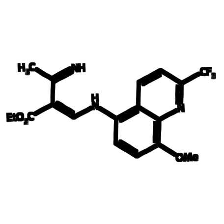 CCOC(=O)/C(=C/Nc1ccc(OC)c2nc(C(F)(F)F)ccc12)C(C)=N